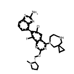 CN1CCC[C@H]1COc1nc(N2CCNCC3(CC3)C2)c2cc(Cl)c(-c3cccc4sc(N)nc34)c(F)c2n1